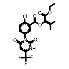 CCOC(=O)C(OC(=O)c1cc(-n2c(=O)cc(C(F)(F)F)[nH]c2=O)ccc1Cl)=C(C)C